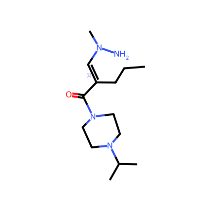 CCC/C(=C\N(C)N)C(=O)N1CCN(C(C)C)CC1